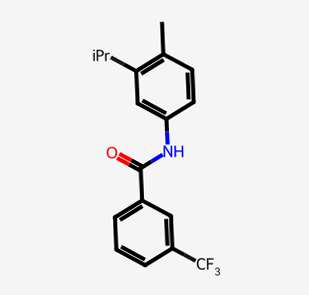 Cc1ccc(NC(=O)c2cccc(C(F)(F)F)c2)cc1C(C)C